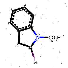 O=C(O)N1c2ccccc2CC1I